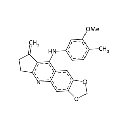 C=C1CCc2nc3cc4c(cc3c(Nc3ccc(C)c(OC)c3)c21)OCO4